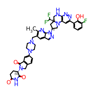 Cc1nc2c(cnn2[C@H]2CN3c4cc(-c5cccc(F)c5O)nnc4NC[C@@]3(C(F)F)C2)cc1CN1CCN(c2ccc3c(c2)C(=O)N([C@H]2CCC(=O)NC2=O)C3)CC1